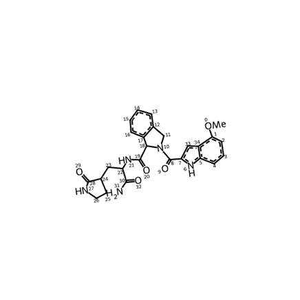 COc1cccc2[nH]c(C(=O)N3Cc4ccccc4C3C(=O)NC(CC3CCNC3=O)C(N)=O)cc12